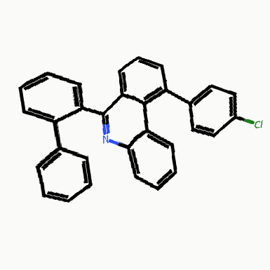 Clc1ccc(-c2cccc3c(-c4ccccc4-c4ccccc4)nc4ccccc4c23)cc1